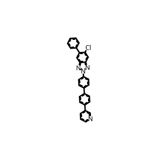 Clc1cc2nn(-c3ccc(-c4ccc(-c5cccnc5)cc4)cc3)nc2cc1-c1ccccc1